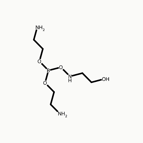 NCCOB(OCCN)ONCCO